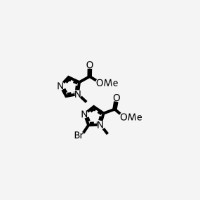 COC(=O)c1cnc(Br)n1C.COC(=O)c1cncn1C